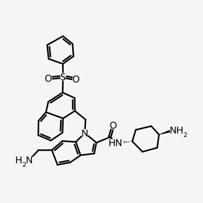 NCc1ccc2cc(C(=O)N[C@H]3CC[C@H](N)CC3)n(Cc3cc(S(=O)(=O)c4ccccc4)cc4ccccc34)c2c1